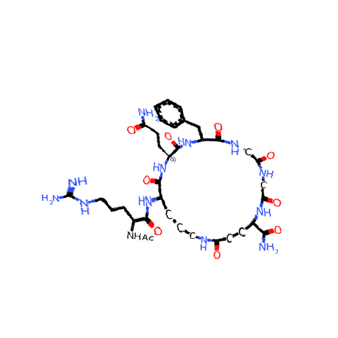 CC(=O)NC(CCCNC(=N)N)C(=O)NC1CCCNC(=O)CCC(C(N)=O)NC(=O)CNC(=O)CNC(=O)C(Cc2ccccc2)NC(=O)[C@H](CCC(N)=O)NC1=O